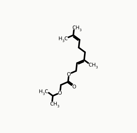 CC(C)=CCCC(C)=CCOC(=O)COC(C)C